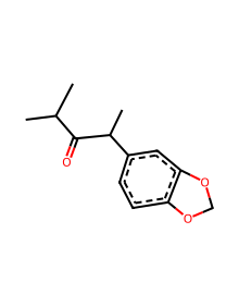 CC(C)C(=O)C(C)c1ccc2c(c1)OCO2